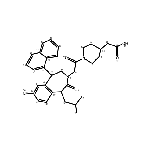 CC(C)CC1C(=O)N(CC(=O)N2CCC(CC(=O)O)CC2)CC(c2cccc3ccccc23)c2cc(Cl)ccc21